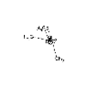 CCCCCCCCCCCCCCCCCC(=O)C(CCCCCCCCCCCCCC)C(=O)N(CCN)C(=O)C(CCCCCCCCCCCCCC)C(=O)CCCCCCCCCCCCCCCCC